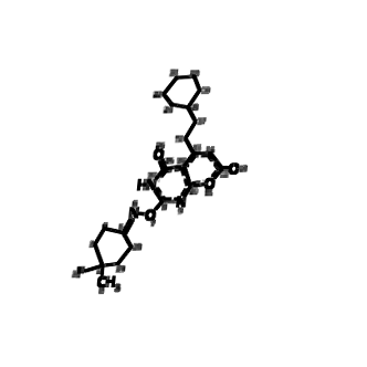 CC1(F)CCC(=NOc2nc3oc(=O)cc(CCC4CCCCC4)c3c(=O)[nH]2)CC1